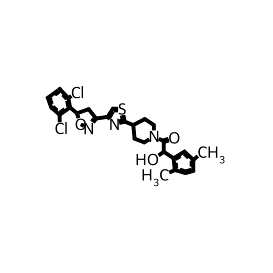 Cc1ccc(C)c(C(O)C(=O)N2CCC(c3nc(C4=NOC(c5c(Cl)cccc5Cl)C4)cs3)CC2)c1